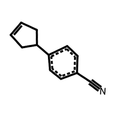 N#Cc1ccc(C2CC=CC2)cc1